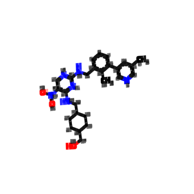 Cc1cncc(-c2cccc(CNc3ncc([N+](=O)[O-])c(NCC4CCC(CO)CC4)n3)c2C)c1